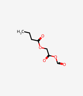 CCCC(=O)OCC(=O)OC=O